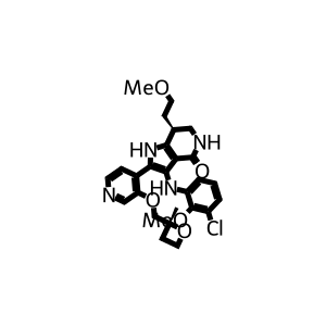 COCC[C@H]1CNC(=O)c2c1[nH]c(-c1ccncc1OC[C@@]1(C)CCO1)c2Nc1cccc(Cl)c1OC